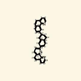 c1cnc2c(c1)ccc1ccc(-c3ccc4ccc(-c5ccc6ccc7cccnc7c6n5)cc4c3)cc12